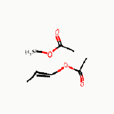 CC(=O)O[SiH3].CC=COC(C)=O